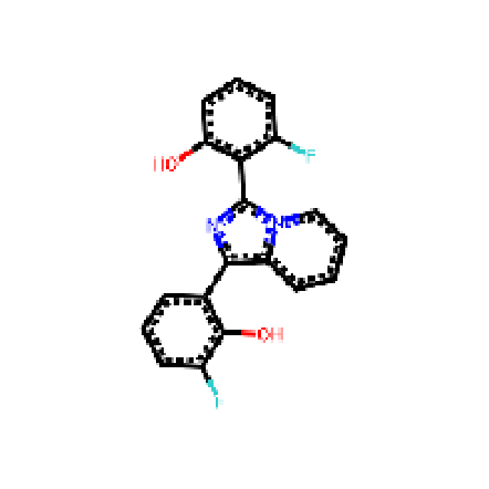 Oc1cccc(F)c1-c1nc(-c2cccc(F)c2O)c2ccccn12